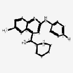 Cc1ccc2nc(Nc3ccc(Cl)cc3)cc(C(O)C3CCCCN3)c2c1